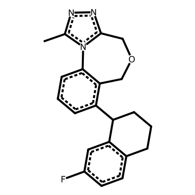 Cc1nnc2n1-c1cccc(C3CCCc4ccc(F)cc43)c1COC2